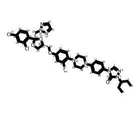 CCC(CC)n1ncn(-c2ccc(N3CCN(c4ccc(OC[C@@H]5CO[C@@](Cn6nccn6)(c6ccc(Cl)cc6Cl)O5)cc4F)CC3)cc2)c1=O